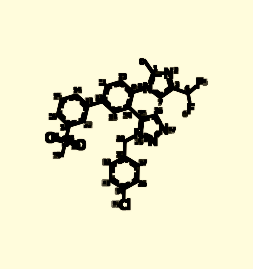 Cc1nc(C(F)F)cn1-c1ccc(-c2cccc(S(C)(=O)=O)c2)cc1-c1cnnn1Cc1ccc(Cl)cc1